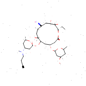 C#CCCN(C)[C@H]1C[C@@H](C)O[C@@H](OC2[C@@H](C)[C@H](OC3C[C@@](C)(OC)[C@@H](O)C(C)O3)[C@@H](C)C(=O)O[C@H](CC)[C@@](C)(O)[C@H](O)[C@@H](C)/C(=N/O)[C@H](C)C[C@@]2(C)O)[C@@H]1O